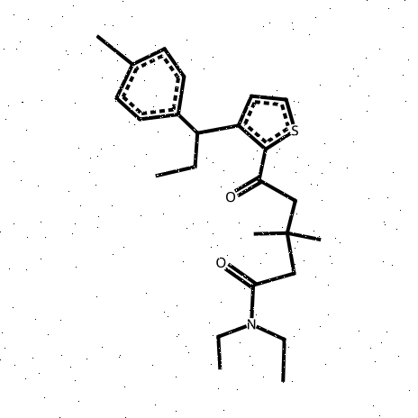 CCC(c1ccc(C)cc1)c1ccsc1C(=O)CC(C)(C)CC(=O)N(CC)CC